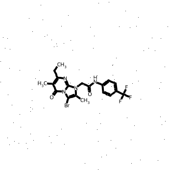 CCc1nc2n(CC(=O)Nc3ccc(C(F)(F)F)cc3)c(C)c(Br)n2c(=O)c1C